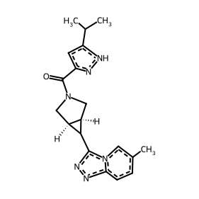 Cc1ccc2nnc(C3[C@H]4CN(C(=O)c5cc(C(C)C)[nH]n5)C[C@@H]34)n2c1